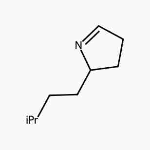 CC(C)CCC1CCC=N1